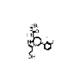 CC(C)(C)OC(=O)N[C@@H]1CC[C@@H](c2cccc(F)c2F)Cn2c(CCO)cnc21